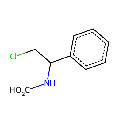 O=C(O)NC(CCl)c1ccccc1